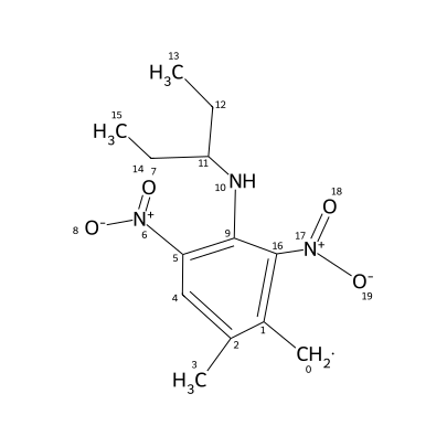 [CH2]c1c(C)cc([N+](=O)[O-])c(NC(CC)CC)c1[N+](=O)[O-]